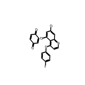 Fc1ccc(Oc2ccnc3cc(Cl)cc(Cl)c23)cc1.O=C1C=CC(=O)C=C1